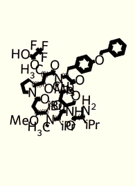 CC[C@H](C)[C@@H]([C@@H](CC(=O)N1CCC[C@H]1[C@H](OC)[C@@H](C)C(=O)N(C)[C@@H](Cc1ccc(OCc2ccccc2)cc1)C(=O)N1CCCCO1)OC)N(C)[C@H](C(=O)NC(=O)[C@@H](N)C(C)C)C(C)C.O=C(O)C(F)(F)F